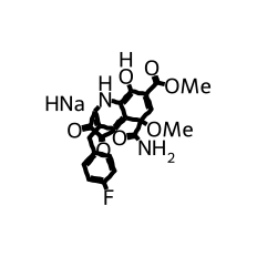 COC(=O)C1=CC(OC)(C(N)=O)C2=C3C(=O)C(=O)C(=C3Cc3ccc(F)cc3)NC2=C1O.[NaH]